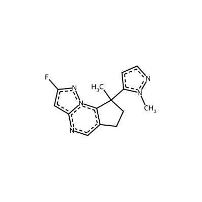 Cn1nccc1C1(C)CCc2cnc3cc(F)nn3c21